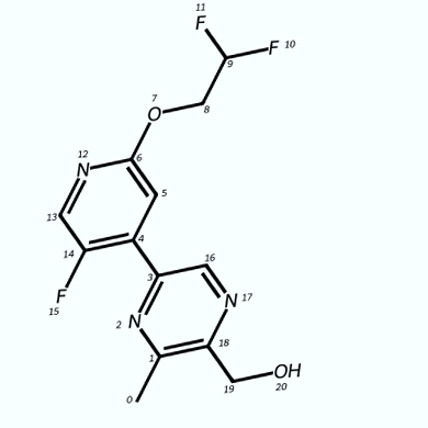 Cc1nc(-c2cc(OCC(F)F)ncc2F)cnc1CO